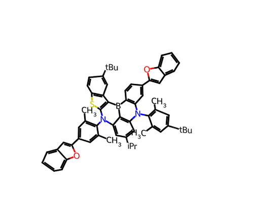 Cc1cc(C(C)(C)C)cc(C)c1N1c2cc(-c3cc4ccccc4o3)ccc2B2c3c1cc(C(C)C)cc3N(c1c(C)cc(-c3cc4ccccc4o3)cc1C)c1sc3ccc(C(C)(C)C)cc3c12